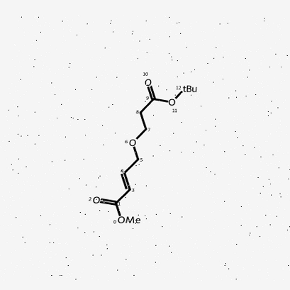 COC(=O)C=CCOCCC(=O)OC(C)(C)C